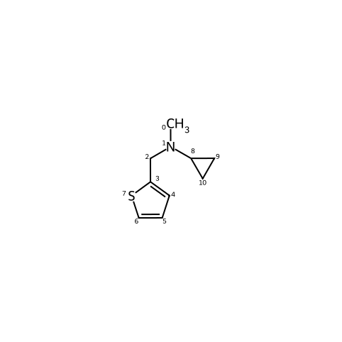 CN(Cc1cccs1)C1CC1